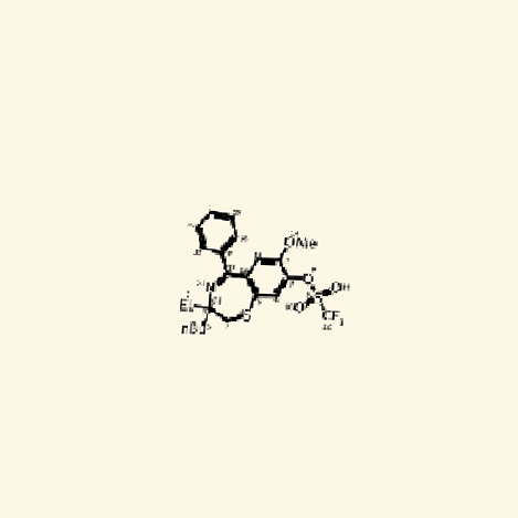 CCCC[C@]1(CC)CSc2cc(OS(=O)(=O)C(F)(F)F)c(OC)cc2C(c2ccccc2)=N1